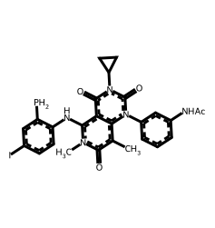 CC(=O)Nc1cccc(-n2c(=O)n(C3CC3)c(=O)c3c(Nc4ccc(I)cc4P)n(C)c(=O)c(C)c32)c1